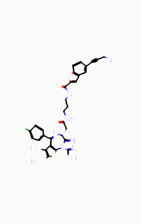 Cc1sc2c(c1C)C(c1ccc(Cl)cc1)=N[C@@H](CC(=O)NCCCNC(=O)c1cc3cc(C#CCN)ccc3o1)c1nnc(C)n1-2